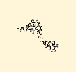 CC1c2c(OCCCCN3CCN(c4cccc(Cl)c4Cl)CC3)ccc3ccc(=O)n(c23)C(=O)C1NC(=O)CN